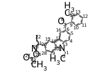 CCn1c2ccc(C(=O)c3ccccc3C)cc2c2cc(/C(I)=N\OC(C)=O)ccc21